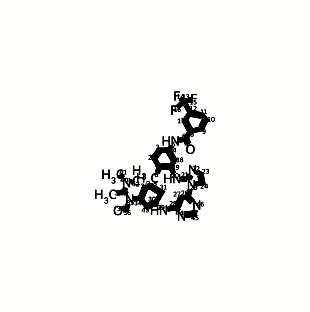 Cc1ccc(NC(=O)c2cccc(C(F)(F)F)c2)cc1Nc1nccn1-c1cc(Nc2cccc(N(C=O)C(C)N(C)C)c2)ncn1